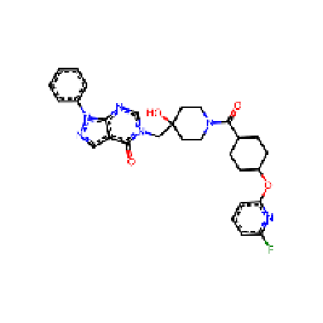 O=C(C1CCC(Oc2cccc(F)n2)CC1)N1CCC(O)(Cn2cnc3c(cnn3-c3ccccc3)c2=O)CC1